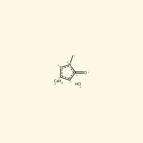 Cl.Cn1sccc1=O.[CaH2]